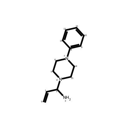 C=CC(N)N1CCN(c2ccccc2)CC1